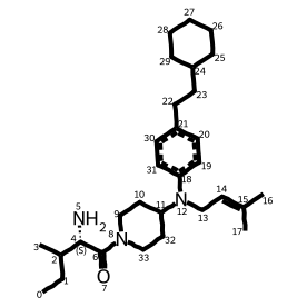 CCC(C)[C@H](N)C(=O)N1CCC(N(CC=C(C)C)c2ccc(CCC3CCCCC3)cc2)CC1